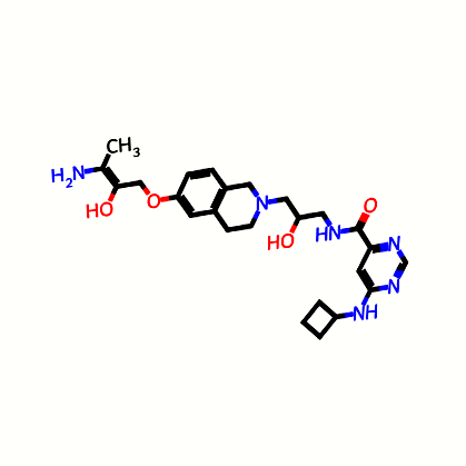 C/C(N)=C(/O)COc1ccc2c(c1)CCN(CC(O)CNC(=O)c1cc(NC3CCC3)ncn1)C2